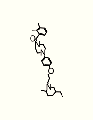 CCC1CCC(C)N(CCCOc2ccc(N3CCN(C(=O)c4cccc(C)c4C)CC3)cc2)C1